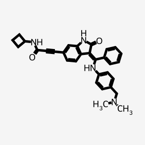 CN(C)Cc1ccc(N/C(=C2/C(=O)Nc3cc(C#CC(=O)NC4CCC4)ccc32)c2ccccc2)cc1